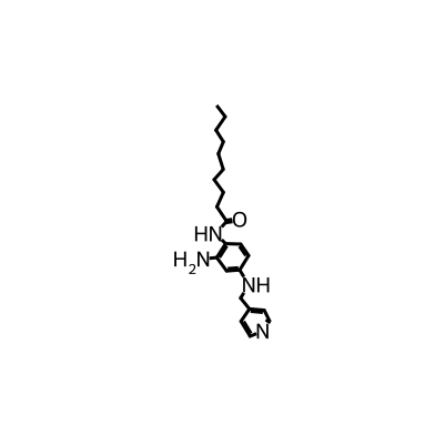 CCCCCCCCCC(=O)Nc1ccc(NCc2ccncc2)cc1N